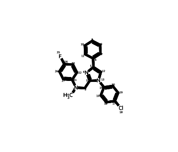 CN(Cc1nc(-c2ccccc2)cn1-c1ccc(Cl)cc1)c1ccc(F)cc1